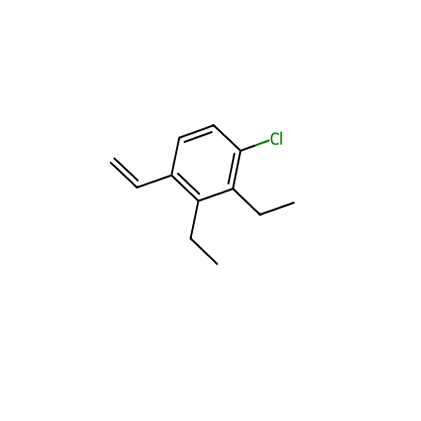 C=Cc1ccc(Cl)c(CC)c1CC